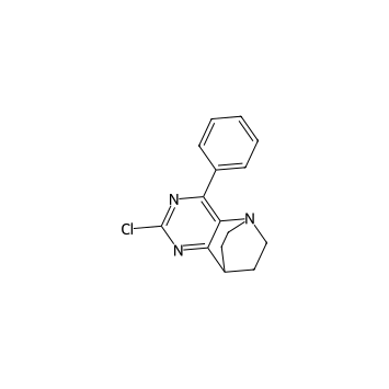 Clc1nc(-c2ccccc2)c2c(n1)C1CCN2CC1